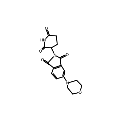 O=C1CCC(N2C(=O)c3ccc(N4CCOCC4)cc3C2=O)C(=O)N1